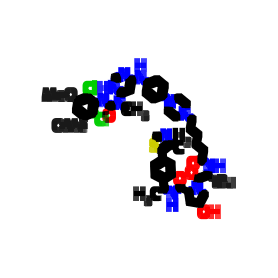 COc1cc(OC)c(Cl)c(NC(=O)N(C)c2cc(Nc3ccc(N4CCN(CCCCCC(=O)N[C@H](C(=O)N5C[C@H](O)C[C@H]5C(=O)N[C@@H](C)c5ccc(-c6scnc6C)cc5)C(C)(C)C)CC4)cc3)ncn2)c1Cl